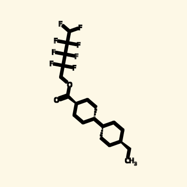 CC[C@H]1CC[C@H]([C@H]2CC[C@H](C(=O)OCC(F)(F)C(F)(F)C(F)(F)C(F)F)CC2)CC1